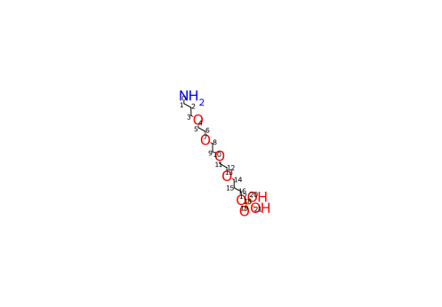 NCCCOCCOCCOCCOCCCOP(=O)(O)O